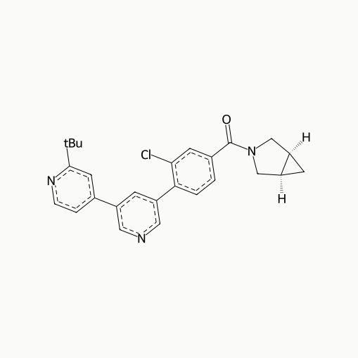 CC(C)(C)c1cc(-c2cncc(-c3ccc(C(=O)N4C[C@H]5C[C@H]5C4)cc3Cl)c2)ccn1